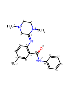 CN1CCN(C)C(=Nc2ccc(C#N)cc2C(=O)Nc2ccccc2)C1